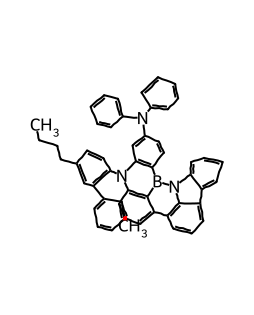 CCCCc1ccc(N2c3cc(N(c4ccccc4)c4ccccc4)ccc3B3c4c(cc(C)cc42)-c2cccc4c5ccccc5n3c24)c(-c2ccccc2)c1